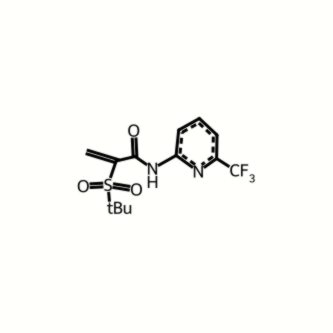 C=C(C(=O)Nc1cccc(C(F)(F)F)n1)S(=O)(=O)C(C)(C)C